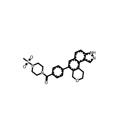 CS(=O)(=O)N1CCN(C(=O)c2ccc(-c3cc4ccc5[nH]ncc5c4c4c3COCC4)cc2)CC1